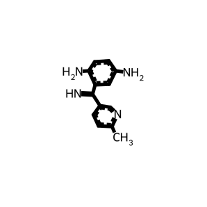 Cc1ccc(C(=N)c2cc(N)ccc2N)cn1